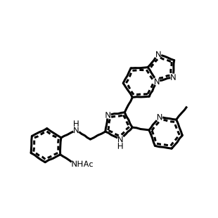 CC(=O)Nc1ccccc1NCc1nc(-c2ccc3ncnn3c2)c(-c2cccc(C)n2)[nH]1